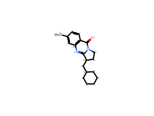 COc1ccc2c(=O)n3c(nc2c1)C(CC1CCCCC1)CC3